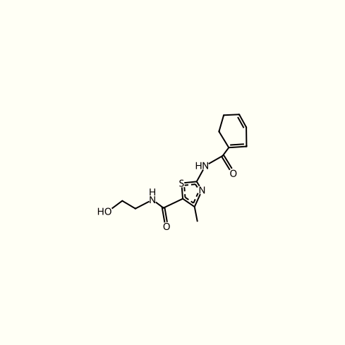 Cc1nc(NC(=O)C2=CC=CCC2)sc1C(=O)NCCO